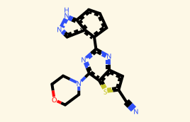 N#Cc1cc2nc(-c3cccc4[nH]ncc34)nc(N3CCOCC3)c2s1